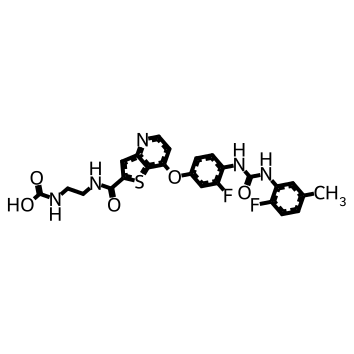 Cc1ccc(F)c(NC(=O)Nc2ccc(Oc3ccnc4cc(C(=O)NCCNC(=O)O)sc34)cc2F)c1